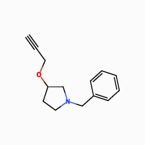 C#CCOC1CCN(Cc2ccccc2)C1